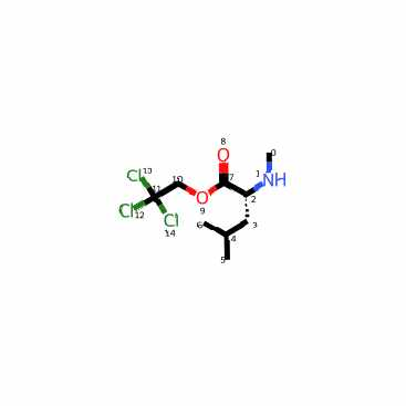 CN[C@H](CC(C)C)C(=O)OCC(Cl)(Cl)Cl